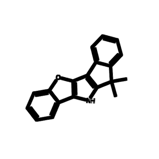 CC1(C)c2ccccc2-c2c1[nH]c1c2oc2ccccc21